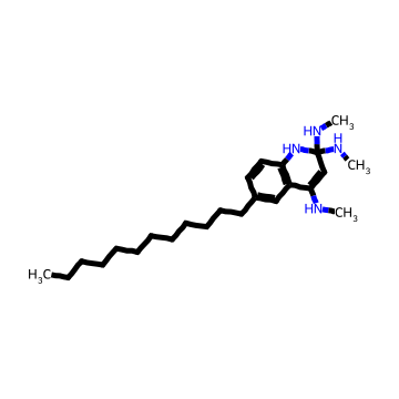 CCCCCCCCCCCCc1ccc2c(c1)C(NC)=CC(NC)(NC)N2